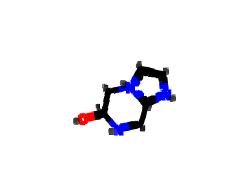 O=C1Cn2ccnc2C=N1